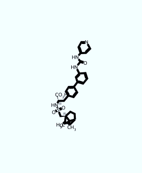 CC1(C)C2CC[C@@]1(CS(=O)(=O)N[C@@H](Cc1ccc(-c3cccc(NC(=O)Nc4ccncc4)c3)cc1)C(=O)O)C(=O)C2